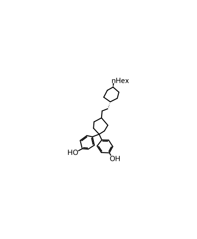 CCCCCC[C@H]1CC[C@H](CCC2CCC(c3ccc(O)cc3)(c3ccc(O)cc3)CC2)CC1